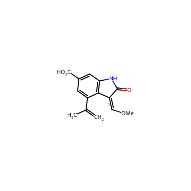 C=C(C)c1cc(C(=O)O)cc2c1/C(=C/OC)C(=O)N2